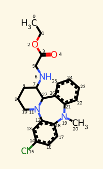 CCOC(=O)CNC1CCCN2c3cc(Cl)ccc3N(C)c3ccccc3C12